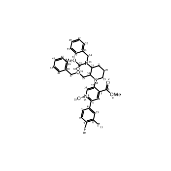 COC(=O)c1cc(-c2ccc(F)c(F)c2)[n+]([O-])cc1N1CCCC(N(Cc2ccccc2)C(=O)OC)C1COCc1ccccc1